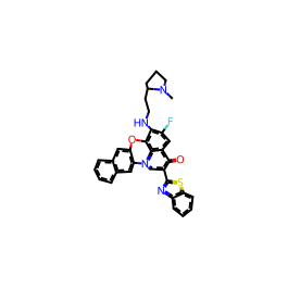 CN1CCCC1CCNc1c(F)cc2c(=O)c(-c3nc4ccccc4s3)cn3c2c1Oc1cc2ccccc2cc1-3